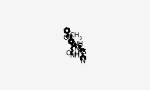 CN(C(=O)C1CCCCC1)c1ccc2c(CCC(N)=O)c(NC(=O)c3csc(-c4ccncc4)n3)[nH]c2c1